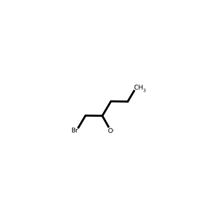 CCCC([O])CBr